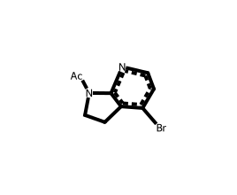 CC(=O)N1CCc2c(Br)ccnc21